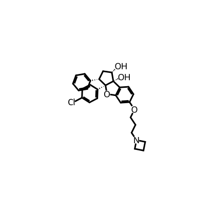 O[C@H]1C[C@@H](c2ccccc2)[C@]2(c3ccc(Cl)cc3)Oc3cc(OCCCN4CCC4)ccc3[C@]12O